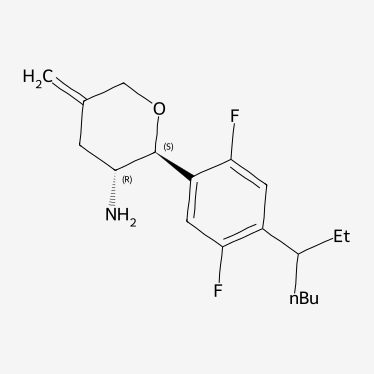 C=C1CO[C@@H](c2cc(F)c(C(CC)CCCC)cc2F)[C@H](N)C1